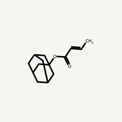 C/C=C/C(=O)OC12CC3CC(CC(C3)C1)C2